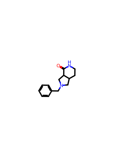 O=C1NCCC2CN(Cc3ccccc3)CC12